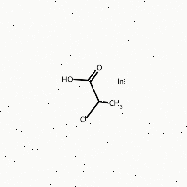 CC(Cl)C(=O)O.[In]